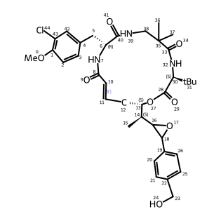 COc1ccc(C[C@H]2NC(=O)/C=C/C[C@@H]([C@H](C)C3OC3c3ccc(CO)cc3)OC(=O)[C@H](C(C)(C)C)NC(=O)C(C)(C)CNC2=O)cc1Cl